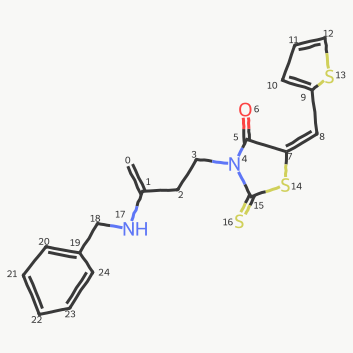 C=C(CCN1C(=O)/C(=C\c2cccs2)SC1=S)NCc1ccccc1